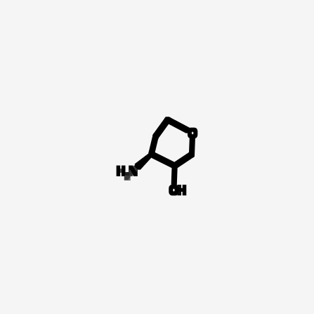 N[C@H]1CCOCC1O